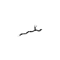 [CH2]CC(Br)CCCCCl